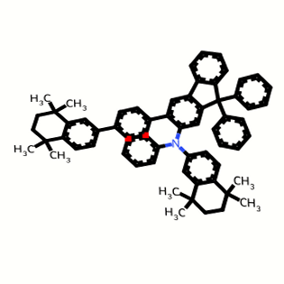 CC1(C)CCC(C)(C)c2cc(-c3ccc(-c4cc5c(cc4N(c4ccccc4)c4ccc6c(c4)C(C)(C)CCC6(C)C)C(c4ccccc4)(c4ccccc4)c4ccccc4-5)cc3)ccc21